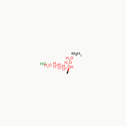 CO.Cl.O.O.O.O.O.O.[MgH2]